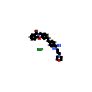 Cl.N=C(NCCCN1CCOCC1)c1ccc(CCc2ccc(CN3C(=O)c4ccccc4C3=O)cc2)cc1